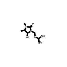 CCCC(N)OCN1C(=O)N(C)C(C)C1C(C)=O